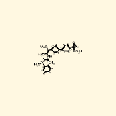 C=C(N/C(C)=C(/OC)c1ccc(-c2ccc(C3(C(=O)O)CC3)cc2)cc1)O[C@H](C)c1ccccc1